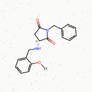 CCOc1ccccc1CN[C@@H]1CC(=O)N(Cc2ccccc2)C1=O